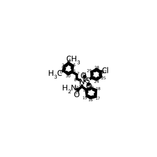 Cc1cc(C)cc(CCN(C(C(N)=O)c2ccccc2)S(=O)(=O)c2ccc(Cl)cc2)c1